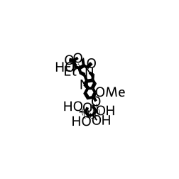 CC[C@@]1(O)C(=O)OCc2c1cc1n(c2=O)Cc2cc3c(OC)c(O[C@@H]4O[C@H](CO)[C@@H](O)[C@H](O)[C@H]4O)ccc3nc2-1